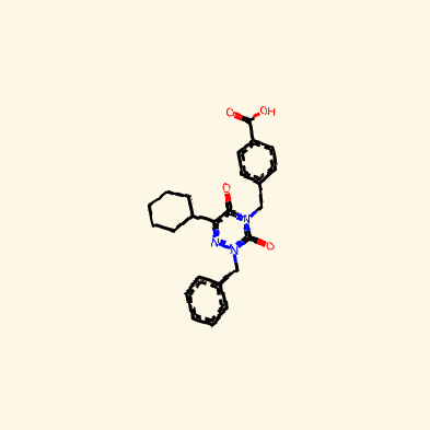 O=C(O)c1ccc(Cn2c(=O)c(C3CCCCC3)nn(Cc3ccccc3)c2=O)cc1